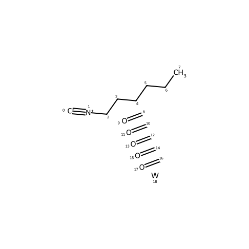 [C-]#[N+]CCCCCC.[C]=O.[C]=O.[C]=O.[C]=O.[C]=O.[W]